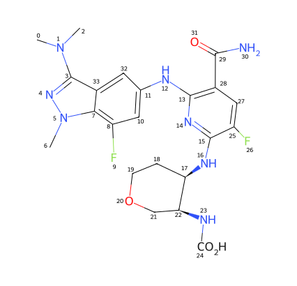 CN(C)c1nn(C)c2c(F)cc(Nc3nc(N[C@@H]4CCOC[C@@H]4NC(=O)O)c(F)cc3C(N)=O)cc12